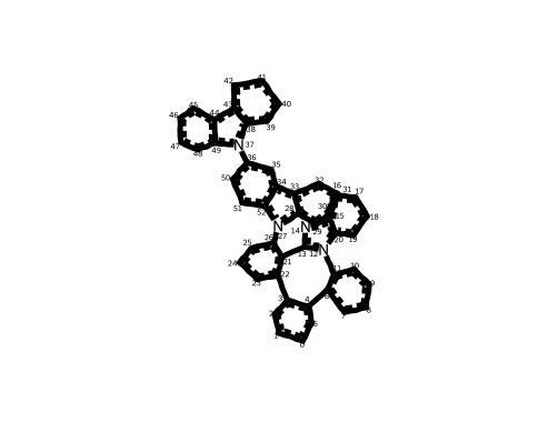 c1ccc2c(c1)-c1ccccc1-n1c(nc3ccccc31)-c1c-2cccc1-n1c2ccccc2c2cc(-n3c4ccccc4c4ccccc43)ccc21